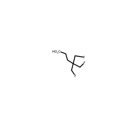 O=C(O)CCC(CF)(CF)CF